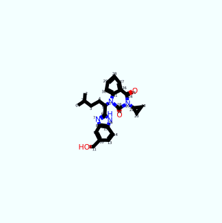 CC(C)CCC(c1nc2cc(CO)ccc2[nH]1)n1c(=O)n(C2CC2)c(=O)c2ccccc21